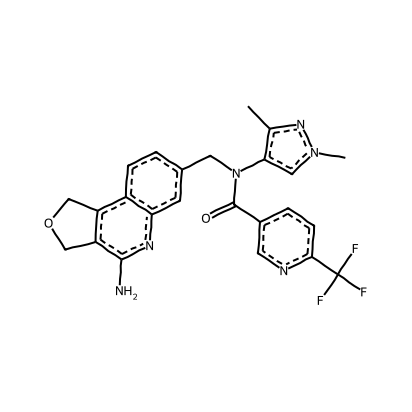 Cc1nn(C)cc1N(Cc1ccc2c3c(c(N)nc2c1)COC3)C(=O)c1ccc(C(F)(F)F)nc1